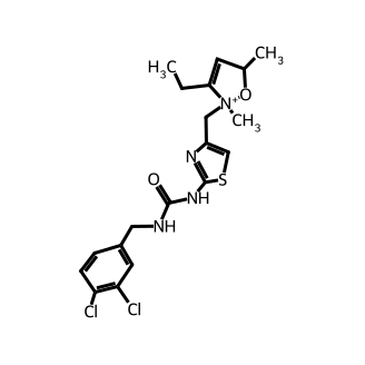 CCC1=CC(C)O[N+]1(C)Cc1csc(NC(=O)NCc2ccc(Cl)c(Cl)c2)n1